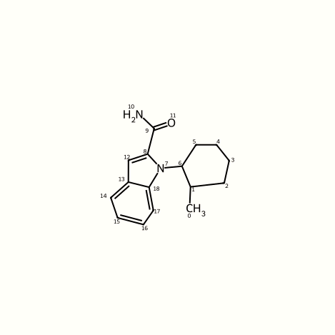 CC1CCCCC1n1c(C(N)=O)cc2ccccc21